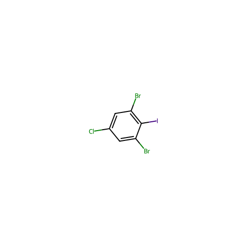 Clc1cc(Br)c(I)c(Br)c1